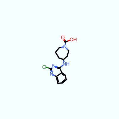 O=C(O)N1CCCC(Nc2nc(Cl)nc3ccccc23)CC1